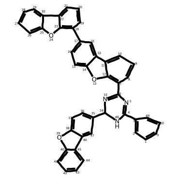 c1ccc(C2=NC(c3cccc4c3oc3ccc(-c5cccc6c5oc5ccccc56)cc34)=NC(c3ccc4oc5ccccc5c4c3)N2)cc1